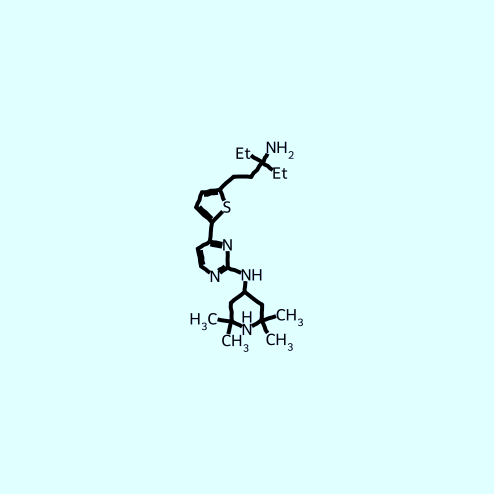 CCC(N)(CC)CCc1ccc(-c2ccnc(NC3CC(C)(C)NC(C)(C)C3)n2)s1